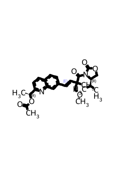 COCC(C)(/C=C/c1ccc2ccc([C@@H](C)OC(C)=O)nc2c1)C(=O)N1C(=O)OC[C@H]1C(C)C